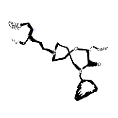 C=C/C(=C\C=O)CCN1CCC2(CC1)CN(c1ccccc1)C(=O)[C@@H](COC)O2